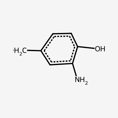 [CH2]c1ccc(O)c(N)c1